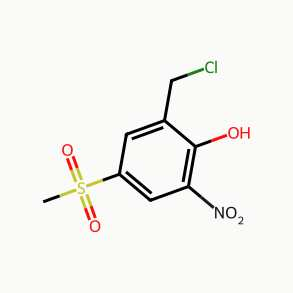 CS(=O)(=O)c1cc(CCl)c(O)c([N+](=O)[O-])c1